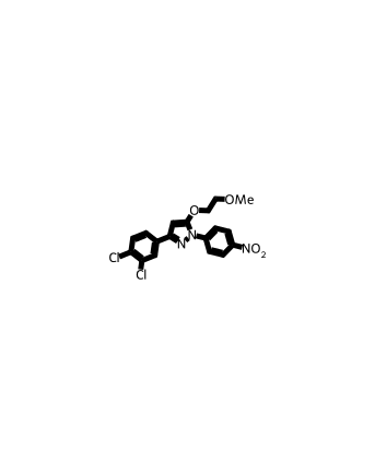 COCCOc1cc(-c2ccc(Cl)c(Cl)c2)nn1-c1ccc([N+](=O)[O-])cc1